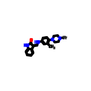 Cc1cc(NC=C2C(=O)Nc3ccccc32)ccc1N1CCN(C(C)C)CC1